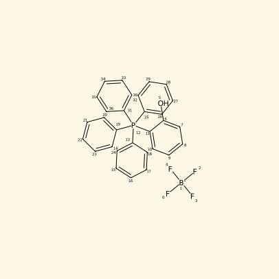 F[B-](F)(F)F.Oc1ccccc1P(c1ccccc1)(c1ccccc1)(c1ccccc1)c1ccccc1